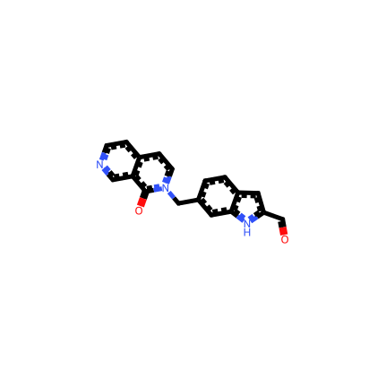 O=Cc1cc2ccc(Cn3ccc4ccncc4c3=O)cc2[nH]1